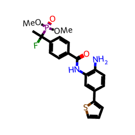 COP(=O)(OC)C(C)(F)c1ccc(C(=O)Nc2cc(-c3cccs3)ccc2N)cc1